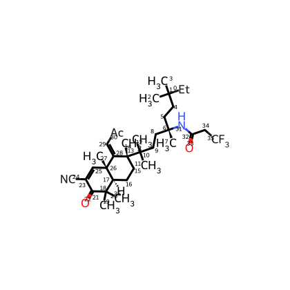 CCC(C)(C)CC[C@@](C)(CCC(C)(C)[C@]1(C)CC[C@H]2C(C)(C)C(=O)C(C#N)=C[C@]2(C)/C1=C/C(C)=O)NC(=O)CC(F)(F)F